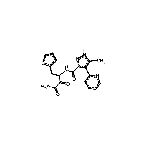 Cc1[nH]nc(C(=O)NC(Cc2ccco2)C(=O)C(N)=O)c1-c1ccccn1